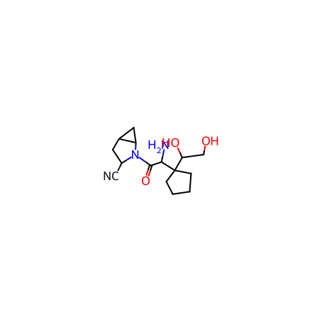 N#CC1CC2CC2N1C(=O)C(N)C1(C(O)CO)CCCC1